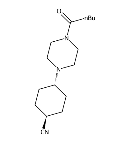 CCCCC(=O)N1CCN([C@H]2CC[C@H](C#N)CC2)CC1